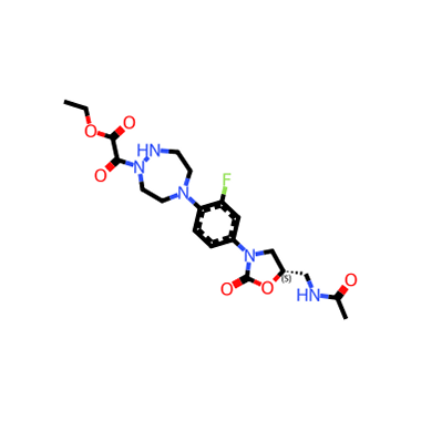 CCOC(=O)C(=O)N1CCN(c2ccc(N3C[C@H](CNC(C)=O)OC3=O)cc2F)CCN1